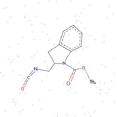 CC(C)(C)OC(=O)N1c2ccccc2CC1CN=C=O